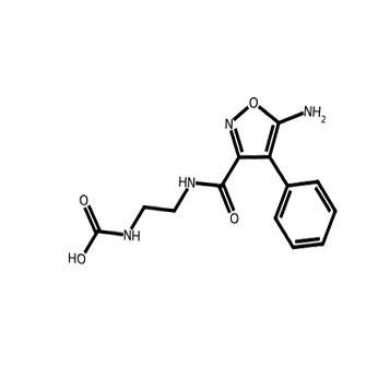 Nc1onc(C(=O)NCCNC(=O)O)c1-c1ccccc1